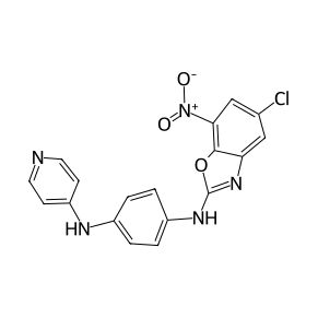 O=[N+]([O-])c1cc(Cl)cc2nc(Nc3ccc(Nc4ccncc4)cc3)oc12